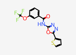 O=C(Nc1nnc(-c2cccs2)o1)c1cccc(OC(F)(F)F)c1